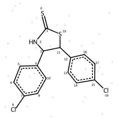 S=C1NC(c2ccc(Cl)cc2)C(c2ccc(Cl)cc2)S1